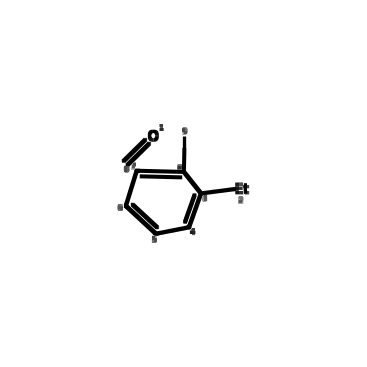 C=O.CCc1ccccc1I